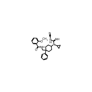 COc1ccccc1C(=O)NCC1(c2ccccc2)CCC(N(C(=N)NC#N)C2CC2)CC1